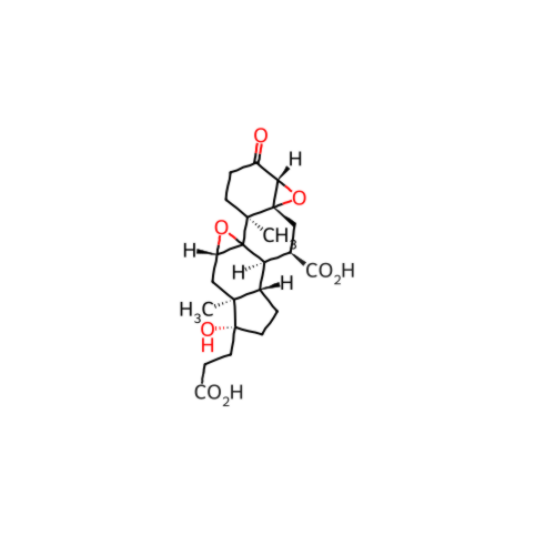 C[C@]12C[C@@H]3OC34[C@@H]([C@H](C(=O)O)C[C@]35O[C@H]3C(=O)CC[C@]45C)[C@@H]1CC[C@@]2(O)CCC(=O)O